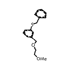 COCCOCc1cccc(SCc2ccccc2)c1